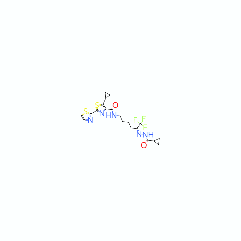 O=C(NCCCC/C(=N/NC(=O)C1CC1)C(F)(F)F)c1nc(-c2nccs2)sc1C1CC1